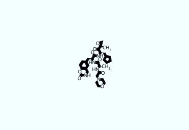 C[C@H](NC(=O)CN1CCOCC1)C(=O)N[C@@H](Cc1ccc2c(c1)CNC(=O)O2)C(=O)N[C@@H](CC1CCCC1)C(=O)[C@@]1(C)CO1